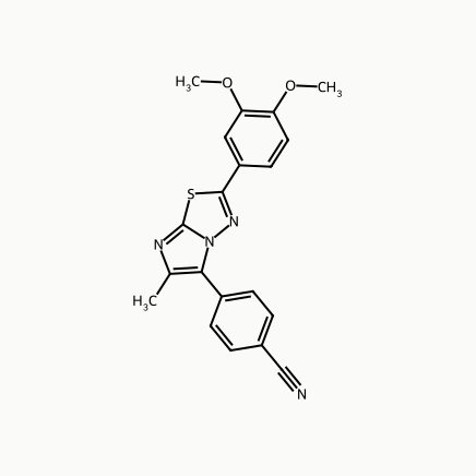 COc1ccc(-c2nn3c(-c4ccc(C#N)cc4)c(C)nc3s2)cc1OC